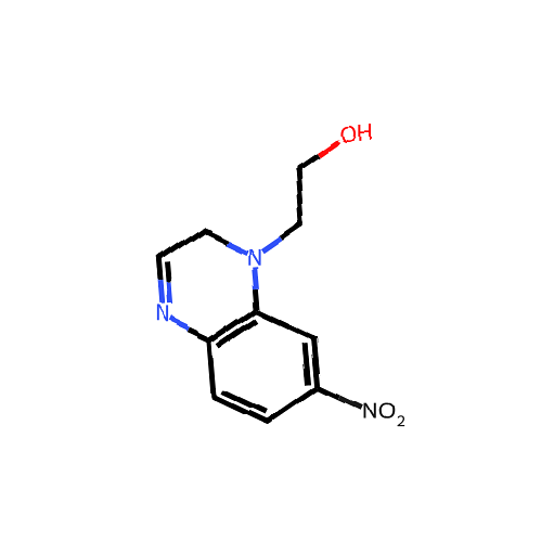 O=[N+]([O-])c1ccc2c(c1)N(CCO)CC=N2